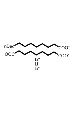 CCCCCCCCCCCCCCCCCC(=O)[O-].O=C([O-])CCCCCCCC(=O)[O-].[Li+].[Li+].[Li+]